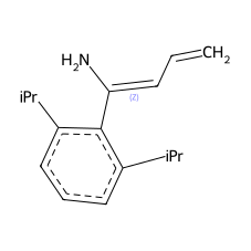 C=C/C=C(\N)c1c(C(C)C)cccc1C(C)C